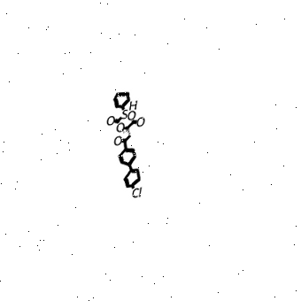 O=C(O[C@@H](CC(=O)c1ccc(-c2ccc(Cl)cc2)cc1)C(=O)O)Sc1ccccc1